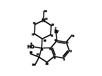 Cc1ccc2c(c1Br)C(O)(C1CCN(C)CC1)C(C)(C)C2